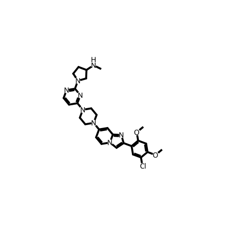 CNC1CCN(c2nccc(N3CCN(c4ccn5cc(-c6cc(Cl)c(OC)cc6OC)nc5c4)CC3)n2)C1